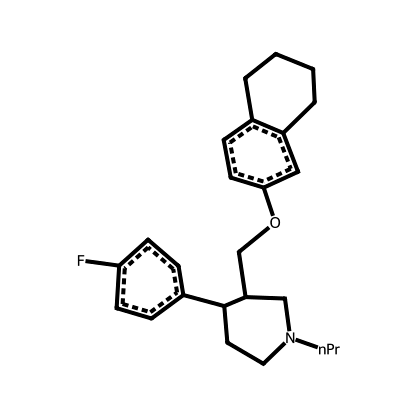 CCCN1CCC(c2ccc(F)cc2)C(COc2ccc3c(c2)CCCC3)C1